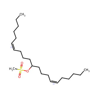 CCCCC/C=C\CCCC(CCC/C=C\CCCCC)OS(C)(=O)=O